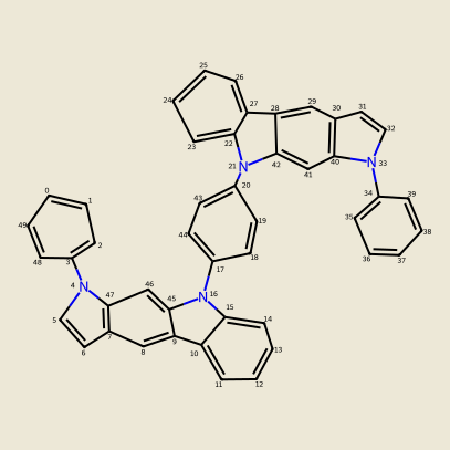 c1ccc(-n2ccc3cc4c5ccccc5n(-c5ccc(-n6c7ccccc7c7cc8ccn(-c9ccccc9)c8cc76)cc5)c4cc32)cc1